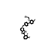 CCC(C)COc1cc(F)ccc1-c1ccc(Cn2ccc3nc(-c4cccc(F)c4F)nc-3c2)cc1